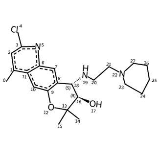 Cc1cc(Cl)nc2cc3c(cc12)OC(C)(C)[C@H](O)[C@H]3NCCN1CCCCC1